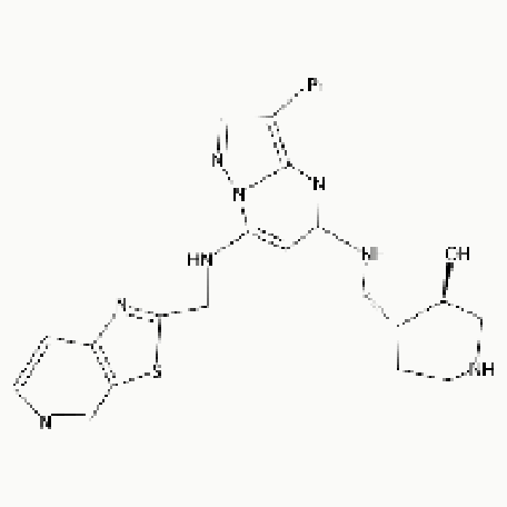 CC(C)c1cnn2c(NCc3nc4ccncc4s3)cc(NC[C@H]3CCNC[C@@H]3O)nc12